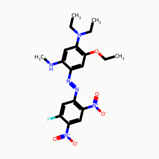 CCOc1cc(/N=N/c2cc(F)c([N+](=O)[O-])cc2[N+](=O)[O-])c(NC)cc1N(CC)CC